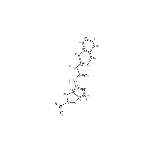 CC(=O)N1Cc2[nH]nc(NC(=O)C(C)c3ccc4ccccc4c3)c2C1